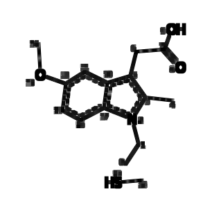 CCn1c(C)c(CC(=O)O)c2cc(OC)ccc21.CS